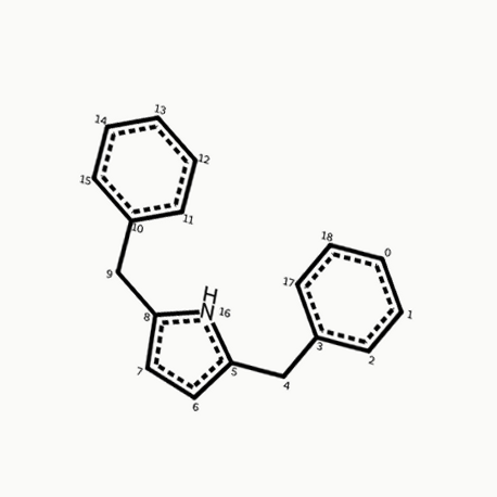 c1ccc(Cc2ccc(Cc3ccccc3)[nH]2)cc1